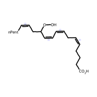 CCCCC/C=C\CC(/C=C\C=C/C/C=C\CCCC(=O)O)OO